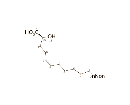 CCCCCCCCCCCCCC/C=C\CC[C@H](O)C(=O)O